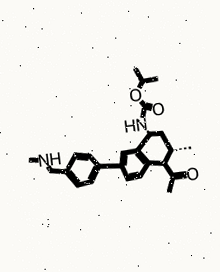 CNCc1ccc(-c2ccc3c(c2)[C@H](NC(=O)OC(C)C)C[C@H](C)C3C(C)=O)cc1